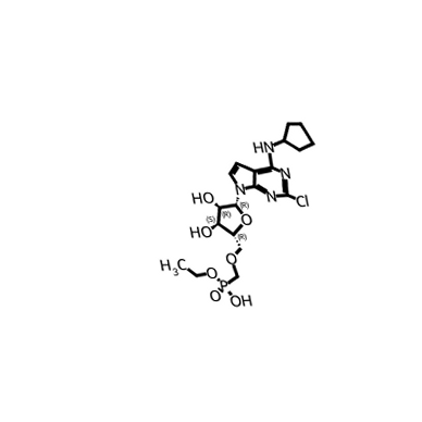 CCOP(=O)(O)COC[C@H]1O[C@@H](n2ccc3c(NC4CCCC4)nc(Cl)nc32)[C@H](O)[C@@H]1O